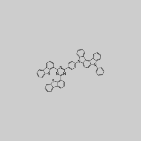 c1ccc(-n2c3ccccc3c3c4c5ccccc5n(-c5ccc(-c6nc(-c7cccc8c7sc7ccccc78)nc(-c7cccc8c7sc7ccccc78)n6)cc5)c4ccc32)cc1